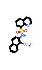 O=C(O)c1c(NS(=O)(=O)c2cccc3cccnc23)ccc2ccccc12